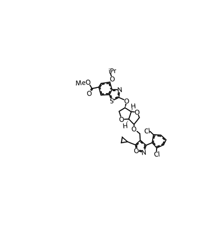 COC(=O)c1cc(OC(C)C)c2nc(O[C@@H]3CO[C@H]4[C@@H]3OC[C@H]4OCc3c(-c4c(Cl)cccc4Cl)noc3C3CC3)sc2c1